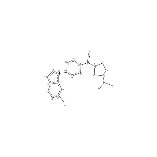 CN(C)C1CCN(C(=O)c2ccc(-n3cnc4ccc(F)cc43)cc2)C1